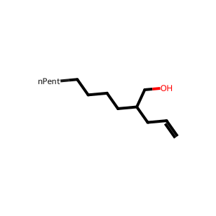 C=CCC(CO)CCCCCCCCC